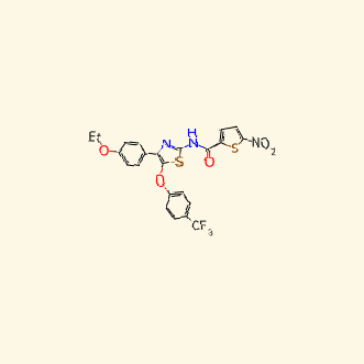 CCOc1ccc(-c2nc(NC(=O)c3ccc([N+](=O)[O-])s3)sc2Oc2ccc(C(F)(F)F)cc2)cc1